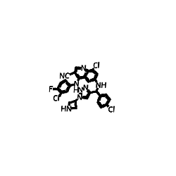 N#Cc1cnc2c(Cl)cc(NC(c3ccc(Cl)cc3)c3cn(C4CNC4)nn3)cc2c1Nc1ccc(F)c(Cl)c1